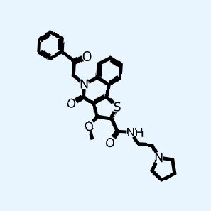 COC1c2c(c3ccccc3n(CC(=O)c3ccccc3)c2=O)SC1C(=O)NCCN1CCCC1